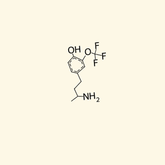 CC(N)CCc1ccc(O)c(OC(F)(F)F)c1